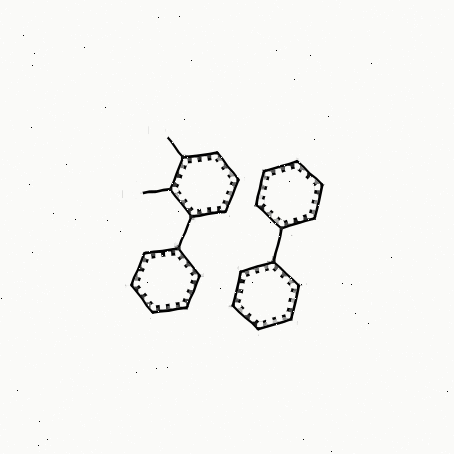 Oc1cccc(-c2ccccc2)c1O.c1ccc(-c2ccccc2)cc1